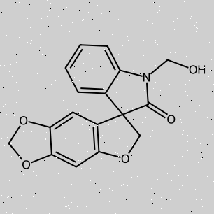 O=C1N(CO)c2ccccc2C12COc1cc3c(cc12)OCO3